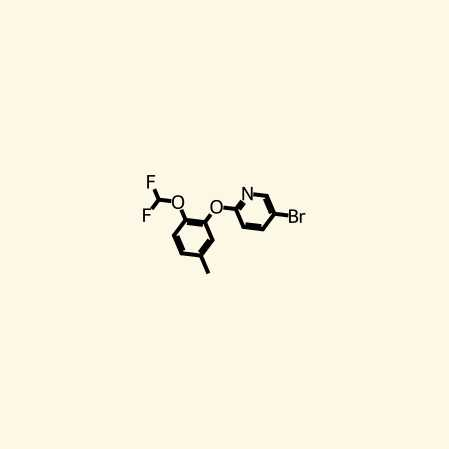 Cc1ccc(OC(F)F)c(Oc2ccc(Br)cn2)c1